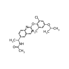 CC(=O)NC(C)c1ccc2nc(Oc3c(C)cc(OC(C)C)cc3Cl)ccc2c1